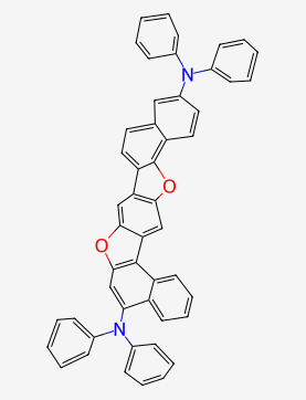 c1ccc(N(c2ccccc2)c2ccc3c(ccc4c5cc6oc7cc(N(c8ccccc8)c8ccccc8)c8ccccc8c7c6cc5oc34)c2)cc1